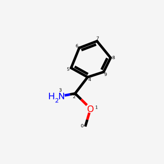 COC(N)c1ccccc1